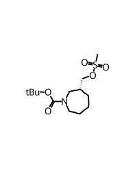 CC(C)(C)OC(=O)N1CCCC[C@@H](COS(C)(=O)=O)C1